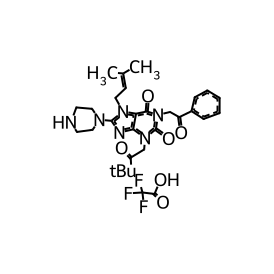 CC(C)=CCn1c(N2CCNCC2)nc2c1c(=O)n(CC(=O)c1ccccc1)c(=O)n2CC(=O)C(C)(C)C.O=C(O)C(F)(F)F